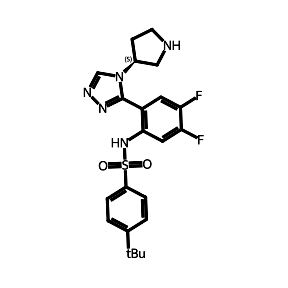 CC(C)(C)c1ccc(S(=O)(=O)Nc2cc(F)c(F)cc2-c2nncn2[C@H]2CCNC2)cc1